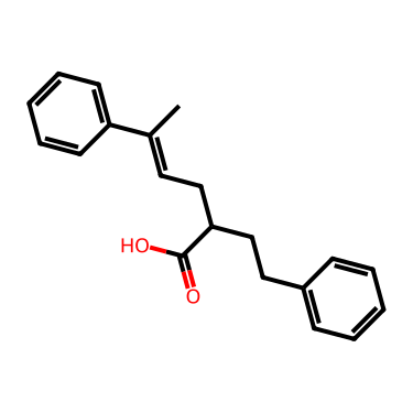 C/C(=C\CC(CCc1ccccc1)C(=O)O)c1ccccc1